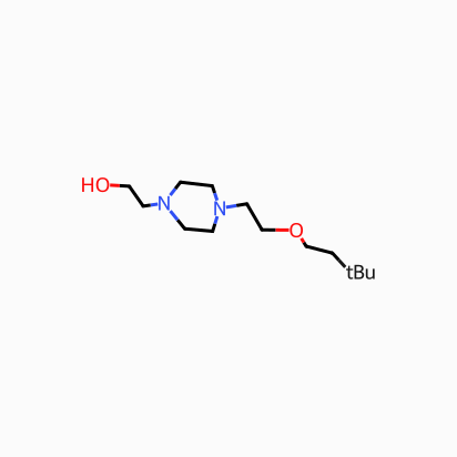 CC(C)(C)CCOCCN1CCN(CCO)CC1